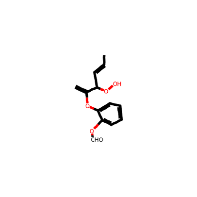 C=C(Oc1ccccc1OC=O)C(C=CC)OO